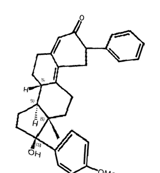 COc1ccc([C@]2(O)CC[C@H]3[C@@H]4CCC5=CC(=O)C(c6ccccc6)CC5=C4CC[C@@]32C)cc1